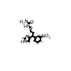 NC(=O)NOCCC(c1cccc([N+](=O)[O-])c1)c1c[nH]cn1